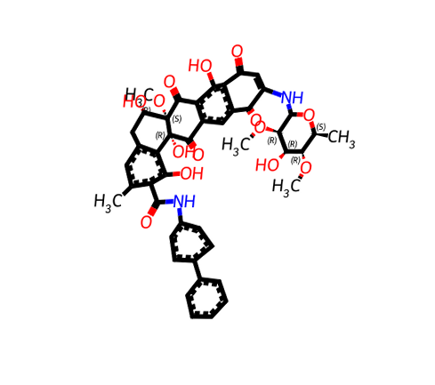 CO[C@@H]1[C@@H](O)[C@@H](OC)C(NC2=CC(=O)c3c(cc4c(c3O)C(=O)[C@]3(OC)[C@H](O)Cc5cc(C)c(C(=O)Nc6ccc(-c7ccccc7)cc6)c(O)c5[C@]3(O)C4=O)C2=O)O[C@H]1C